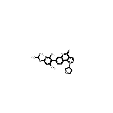 Cc1cc(OC(C)C)nc(C)c1-c1ccc2c(c1)[nH]c(=O)c1cnn([C@H]3CCOC3)c12